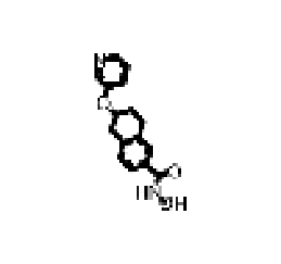 O=C(NO)c1ccc2c(c1)CCC(Oc1cccnc1)C2